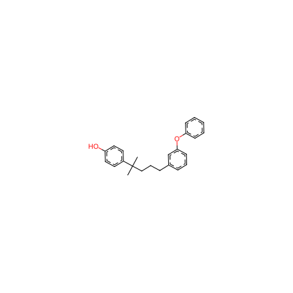 CC(C)(CCCc1cccc(Oc2ccccc2)c1)c1ccc(O)cc1